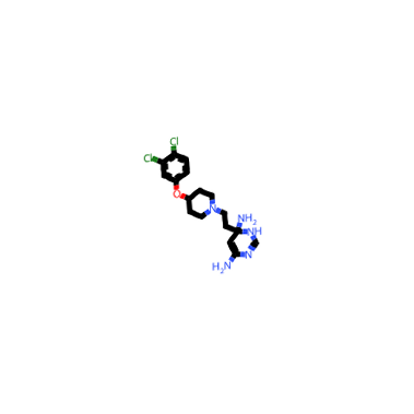 NC1=CC(N)(CCN2CCC(Oc3ccc(Cl)c(Cl)c3)CC2)NC=N1